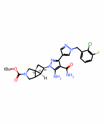 CC(C)(C)OC(=O)N1CC2[C@@H]3[C@H](n4nc(-c5cnn(Cc6cccc(F)c6Cl)c5)c(C(N)=O)c4N)C[C@]23C1